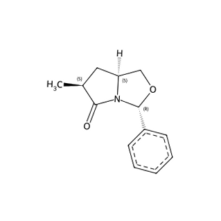 C[C@H]1C[C@H]2CO[C@H](c3ccccc3)N2C1=O